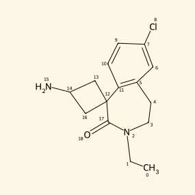 CCN1CCc2cc(Cl)ccc2C2(CC(N)C2)C1=O